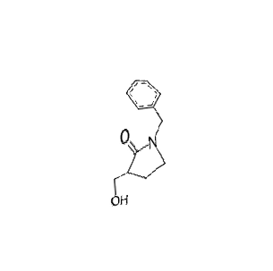 O=C1C(CO)CCN1Cc1ccccc1